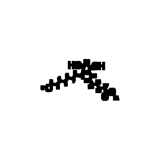 COCCCCCC/C=C/[C@@H]1C(C/C=C\CCCC(=O)OC)[C@@H](O)C[C@H]1O